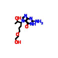 CC(O)C(CCCOCCO)n1cnc2nc(N)[nH]c(=O)c21